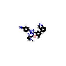 Cc1cc(-c2cccc3cnccc23)cc(C)c1Oc1nc(Nc2ccc(C#N)cc2)nc2ccn(C)c12